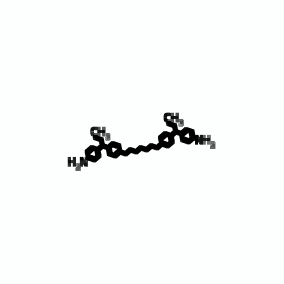 CCCC(c1ccc(N)cc1)c1ccc(CCCCCCCc2ccc(C(CCC)c3ccc(N)cc3)cc2)cc1